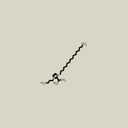 CCCCCCCCCCCCCCCC[n+]1ccn(CCCC)c1C(C)C